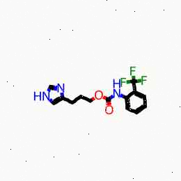 O=C(Nc1ccccc1C(F)(F)F)OCCCc1c[nH]cn1